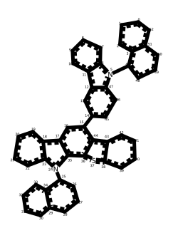 c1ccc2c(-n3c4ccccc4c4cc(-c5cc6c7ccccc7n(-c7cccc8ccccc78)c6c6sc7ccccc7c56)ccc43)cccc2c1